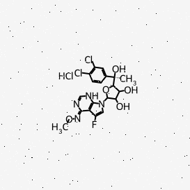 CO/N=c1\nc[nH]c2c1c(F)cn2C1OC([C@](C)(O)c2ccc(Cl)c(Cl)c2)C(O)C1O.Cl